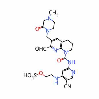 CN1CCN(Cc2cc3c(nc2C=O)N(C(=O)Nc2cc(NCCOS(=O)(=O)O)c(C#N)cn2)CCC3)C(=O)C1